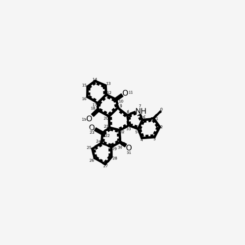 Cc1cccc2c1[nH]c1c3c(=O)c4ccccc4c(=O)c3c3c(=O)c4ccccc4c(=O)c3c21